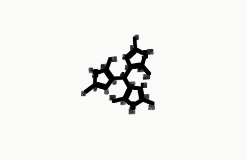 Cc1cc(C(c2cc(C)sc2C)c2cc(C)sc2C)c(C)s1